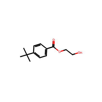 CC(C)(C)c1ccc(C(=O)OCCO)cc1